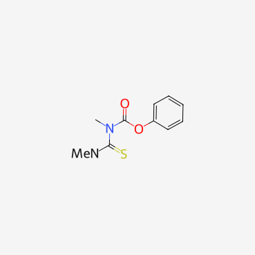 CNC(=S)N(C)C(=O)Oc1ccccc1